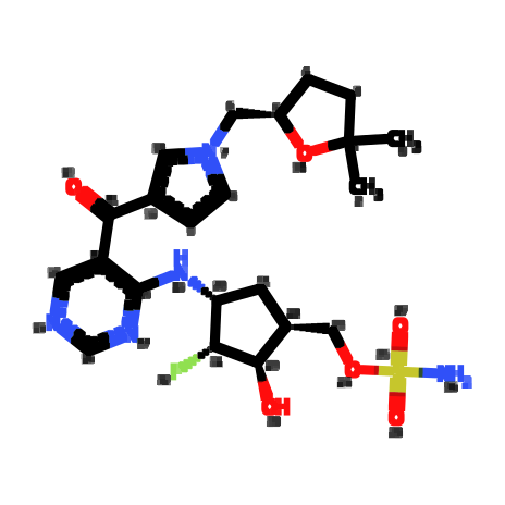 CC1(C)CC[C@@H](Cn2ccc(C(=O)c3cncnc3N[C@@H]3C[C@H](COS(N)(=O)=O)[C@@H](O)[C@@H]3F)c2)O1